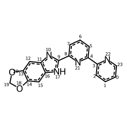 c1ccc(-c2cccc(-c3nc4cc5c(cc4[nH]3)OCO5)n2)nc1